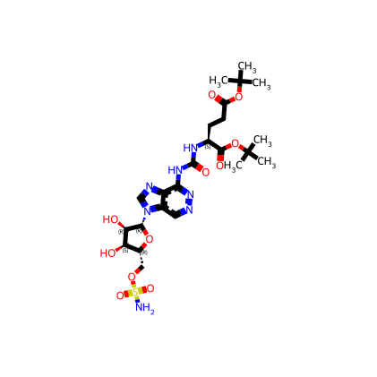 CC(C)(C)OC(=O)CC[C@H](NC(=O)Nc1nncc2c1ncn2[C@@H]1O[C@H](COS(N)(=O)=O)[C@@H](O)[C@H]1O)C(=O)OC(C)(C)C